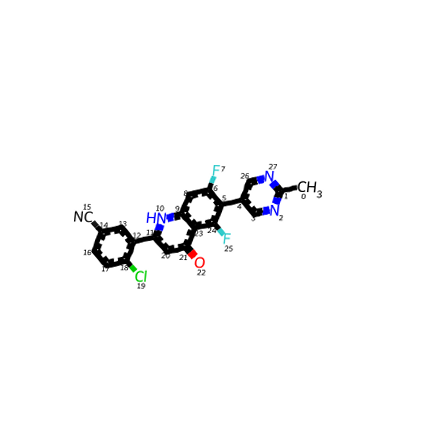 Cc1ncc(-c2c(F)cc3[nH]c(-c4cc(C#N)ccc4Cl)cc(=O)c3c2F)cn1